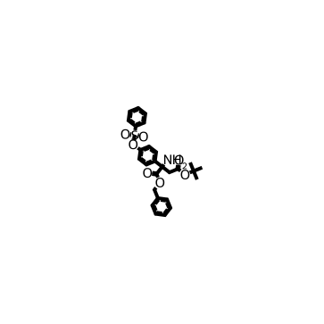 CC(C)(C)OC(=O)CC(N)(C(=O)OCc1ccccc1)c1ccc(OS(=O)(=O)c2ccccc2)cc1